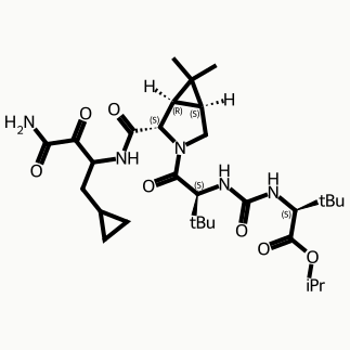 CC(C)OC(=O)[C@@H](NC(=O)N[C@H](C(=O)N1C[C@H]2[C@@H]([C@H]1C(=O)NC(CC1CC1)C(=O)C(N)=O)C2(C)C)C(C)(C)C)C(C)(C)C